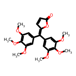 COc1cc(C(=C2C=CC(=O)O2)c2cc(OC)c(OC)c(OC)c2)cc(OC)c1OC